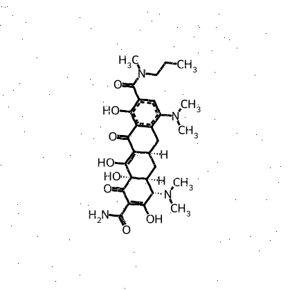 CCCN(C)C(=O)c1cc(N(C)C)c2c(c1O)C(=O)C1=C(O)[C@]3(O)C(=O)C(C(N)=O)=C(O)[C@@H](N(C)C)[C@@H]3C[C@@H]1C2